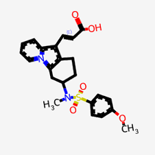 COc1ccc(S(=O)(=O)N(C)C2CCc3c(/C=C/C(=O)O)c4ccccn4c3C2)cc1